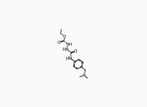 CCOC(=O)NNC(=O)Nc1ccc(CN(C)C)cc1